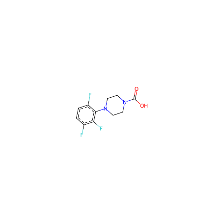 O=C(O)N1CCN(c2c(F)ccc(F)c2F)CC1